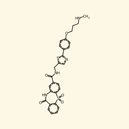 CNCCCOc1ccc(-c2ncc(CNC(=O)c3ccc4c(c3)NC(=O)c3ccccc3S4(=O)=O)s2)cc1